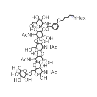 CCCCCC/C=C\CCCOc1cccc(C(=O)N[C@H]2C(O)[C@H](O)C(CO)O[C@H]2O[C@H]2C(O)C(NC(C)=O)[C@H](O[C@@H]3C(CO)O[C@@H](O[C@H]4C(O)C(NC(C)=O)[C@H](O[C@@H]5C(CO[C@@H]6OC(C)[C@@H](O)[C@@H](O)C6O)OC(O)[C@@H](NC(C)=O)C5O)O[C@H]4CO)[C@@H](NC(C)=O)C3O)O[C@H]2CO)c1